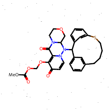 COC(=O)OCOc1c2n(ccc1=O)N(C1c3cccc(c3)CCCCSc3cccc1c3)C1COCCN1C2=O